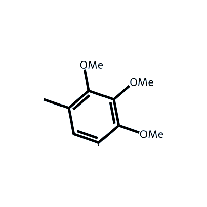 COc1[c]cc(C)c(OC)c1OC